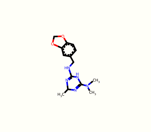 CC1N=C(NCc2ccc3c(c2)OCO3)NC(N(C)C)=N1